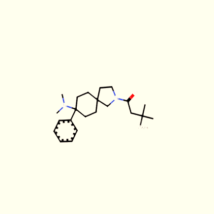 COC(C)(C)CC(=O)N1CCC2(CCC(c3ccccc3)(N(C)C)CC2)C1